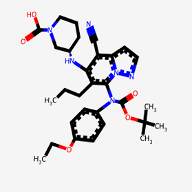 CCCc1c(N[C@H]2CCCN(C(=O)O)C2)c(C#N)c2ccnn2c1N(C(=O)OC(C)(C)C)c1ccc(OCC)cc1